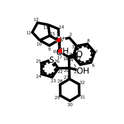 C[N+]1(Cc2ccccc2)CC2CCC(C1)C2COC(=O)C(O)(c1cccs1)C1CCCCC1